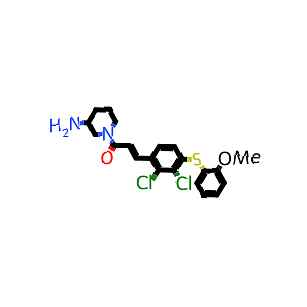 COc1ccccc1Sc1ccc(C=CC(=O)N2CCCC(N)C2)c(Cl)c1Cl